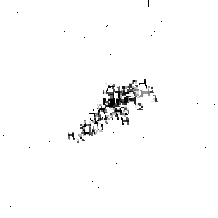 Cc1ccc(NC(=O)c2ccc(-c3nc([C@@H]4CCCN4C(=O)OC(C)(C)C)n(N)c3C(=O)O)cc2)nc1